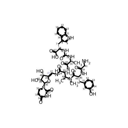 C[C@H](NC(=O)N[C@@H](Cc1c[nH]c2ccccc12)C(=O)O)C(=O)N[C@@H](C(=O)N/C=C1\OC(n2ccc(=O)[nH]c2=O)[C@H](O)[C@@H]1O)[C@H](C)N(C)C(=O)[C@@H](Cc1cccc(O)c1)NC(=O)CN